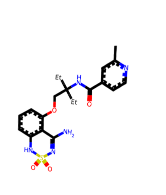 CCC(CC)(COc1cccc2c1C(N)=NS(=O)(=O)N2)NC(=O)c1ccnc(C)c1